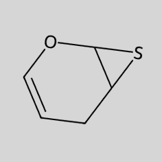 C1=COC2SC2C1